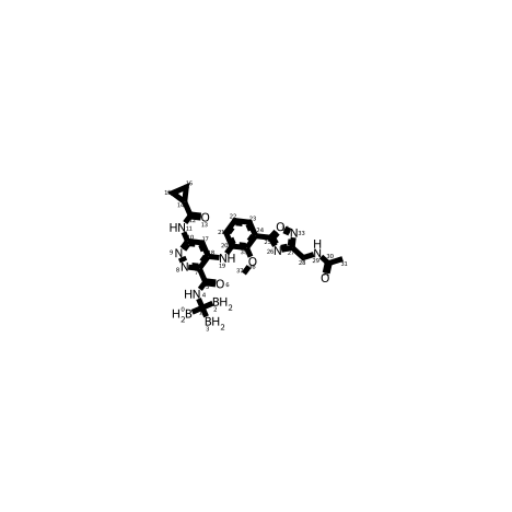 BC(B)(B)NC(=O)c1nnc(NC(=O)C2CC2)cc1Nc1cccc(-c2nc(CNC(C)=O)no2)c1OC